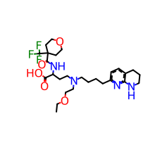 CCOCCN(CCCCc1ccc2c(n1)NCCC2)CCC(NC(=O)C1(C(F)(F)F)CCOCC1)C(=O)O